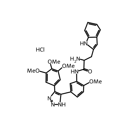 COc1ccc(-c2[nH]nnc2-c2cc(OC)c(OC)c(OC)c2)cc1NC(=O)C(N)Cc1cc2ccccc2[nH]1.Cl